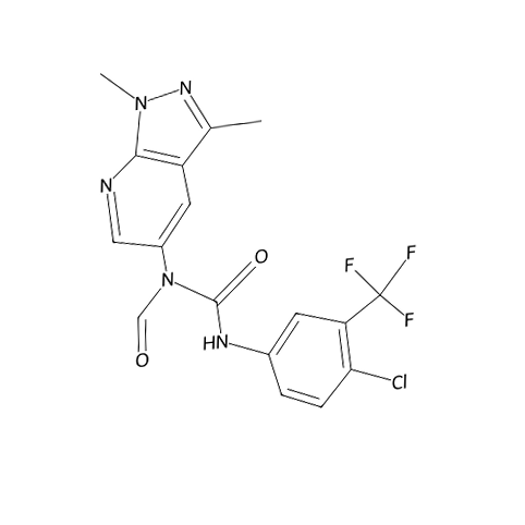 Cc1nn(C)c2ncc(N(C=O)C(=O)Nc3ccc(Cl)c(C(F)(F)F)c3)cc12